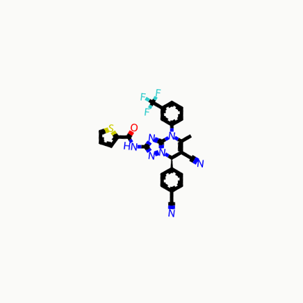 CC1=C(C#N)[C@@H](c2ccc(C#N)cc2)n2nc(NC(=O)c3cccs3)nc2N1c1cccc(C(F)(F)F)c1